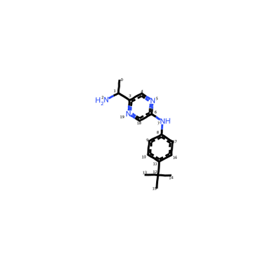 CC(N)c1cnc(Nc2ccc(C(C)(C)C)cc2)cn1